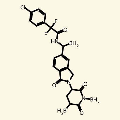 BC1CC(N2Cc3cc(C(B)NC(=O)C(F)(F)c4ccc(Cl)cc4)ccc3C2=O)C(=O)N(B)C1=O